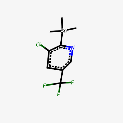 [CH3][Sn]([CH3])([CH3])[c]1ncc(C(F)(F)F)cc1Cl